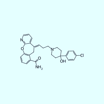 NC(=O)c1cccc2c1CC(=CCCN1CCC(O)(c3ccc(Cl)cc3)CC1)c1cccnc1O2